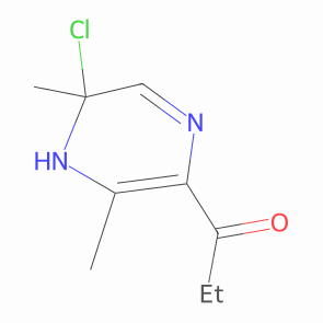 CCC(=O)C1=C(C)NC(C)(Cl)C=N1